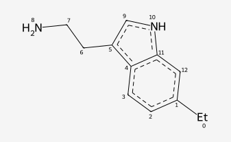 CCc1ccc2c(CCN)c[nH]c2c1